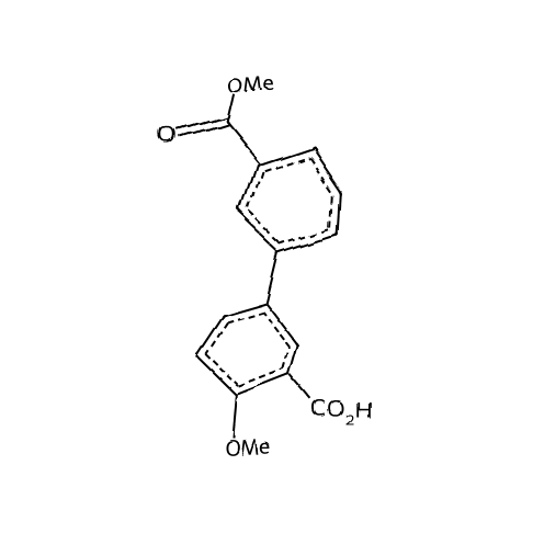 COC(=O)c1cccc(-c2ccc(OC)c(C(=O)O)c2)c1